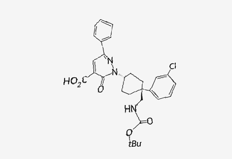 CC(C)(C)OC(=O)NC[C@]1(c2cccc(Cl)c2)CC[C@@H](n2nc(-c3ccccc3)cc(C(=O)O)c2=O)CC1